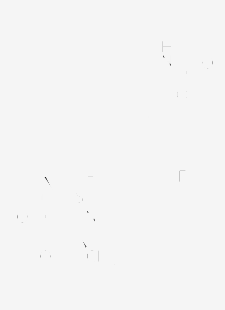 C[C@H]1C(=O)C(=O)[C@@H](c2ccccc2)SN1Cc1cc(F)c(CCc2c[nH]c(=O)o2)cc1F